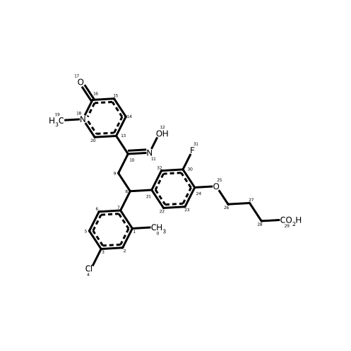 Cc1cc(Cl)ccc1C(CC(=NO)c1ccc(=O)n(C)c1)c1ccc(OCCCC(=O)O)c(F)c1